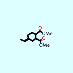 CC=C1CCC(C(=O)OC)C(C(=O)OC)C1